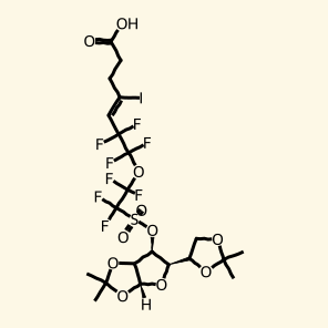 CC1(C)OCC([C@H]2O[C@@H]3OC(C)(C)OC3[C@H]2OS(=O)(=O)C(F)(F)C(F)(F)OC(F)(F)C(F)(F)C=C(I)CCC(=O)O)O1